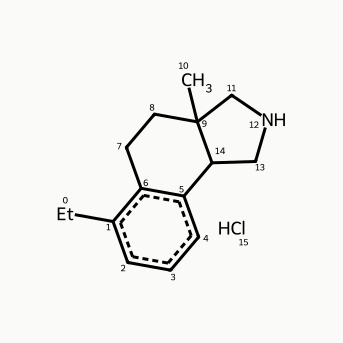 CCc1cccc2c1CCC1(C)CNCC21.Cl